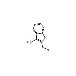 Cc1c(CI)oc2ccccc12